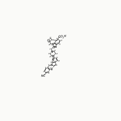 N#Cc1ccc(Cn2ccc3ccc(N4CCN(Cc5nc6ccc(C(=O)O)cc6n5C[C@@H]5CCO5)CC4)nc32)c(F)c1